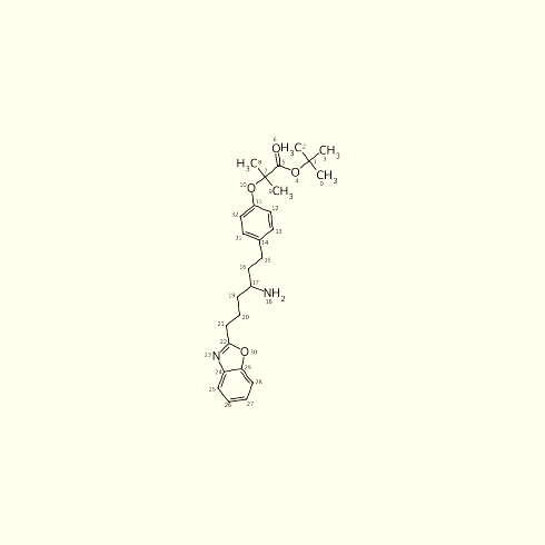 CC(C)(C)OC(=O)C(C)(C)Oc1ccc(CCC(N)CCCc2nc3ccccc3o2)cc1